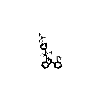 CC(C)c1ccccc1-c1cn(C(=O)Nc2ccc(OC(F)F)cc2)c2ccccc12